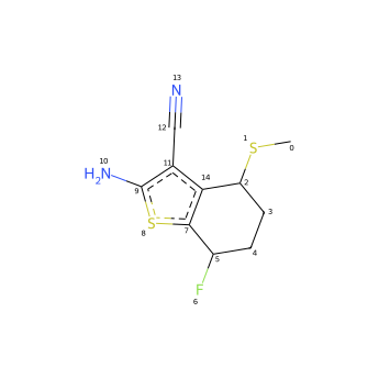 CSC1CCC(F)c2sc(N)c(C#N)c21